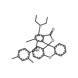 CCN(CC)c1cc(C)c(Nc2ccc(C)cc2C)c2c1C(=O)OC21c2ccccc2Oc2ccccc21